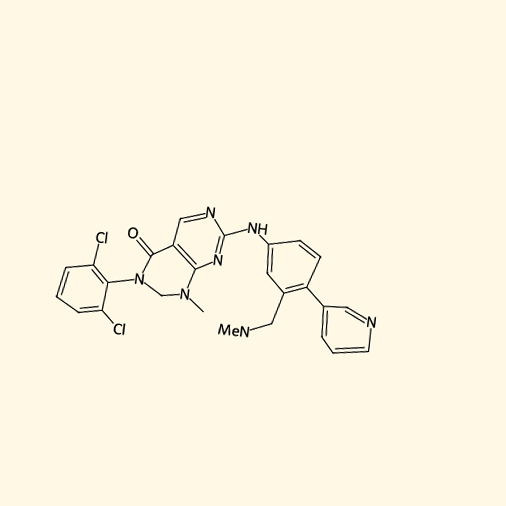 CNCc1cc(Nc2ncc3c(n2)N(C)CN(c2c(Cl)cccc2Cl)C3=O)ccc1-c1cccnc1